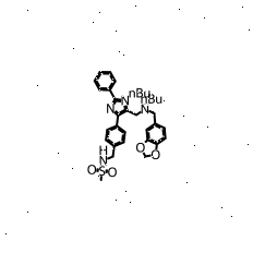 CCCCN(Cc1ccc2c(c1)OCO2)Cc1c(-c2ccc(CNS(C)(=O)=O)cc2)nc(-c2ccccc2)n1CCCC